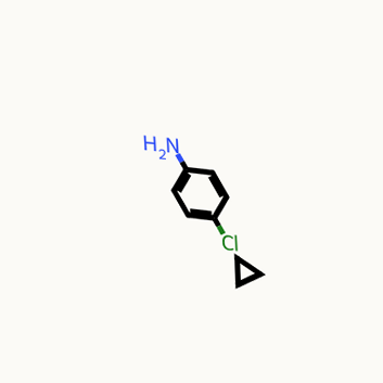 C1CC1.Nc1ccc(Cl)cc1